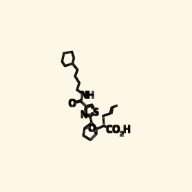 CC=CCC(C(=O)O)C1C2CCC(O2)C1c1nc(C(=O)NCCCCC2CCCCC2)cs1